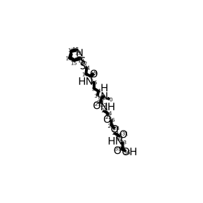 CN[C@@H](CCCCNC(=O)CCSSc1ccccn1)C(=O)NCCOCCOCC(=O)NCC(=O)O